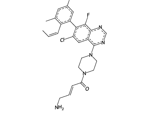 C/C=C\c1c(C)cc(O)cc1-c1c(Cl)cc2c(N3CCN(C(=O)/C=C/CN)CC3)ncnc2c1F